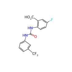 O=C(Nc1cccc(C(F)(F)F)c1)Nc1ccc(F)cc1C(=O)O